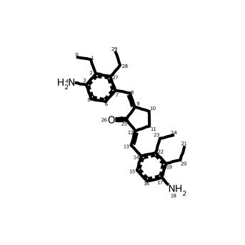 CCc1c(N)ccc(C=C2CCC(=Cc3ccc(N)c(CC)c3CC)C2=O)c1CC